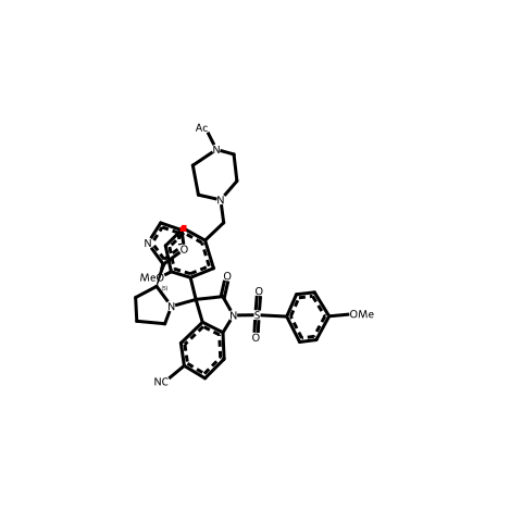 COc1ccc(S(=O)(=O)N2C(=O)C(c3cc(CN4CCN(C(C)=O)CC4)ccc3OC)(N3CCC[C@H]3c3ncco3)c3cc(C#N)ccc32)cc1